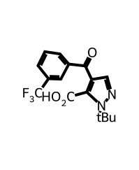 CC(C)(C)n1ncc(C(=O)c2cccc(C(F)(F)F)c2)c1C(=O)O